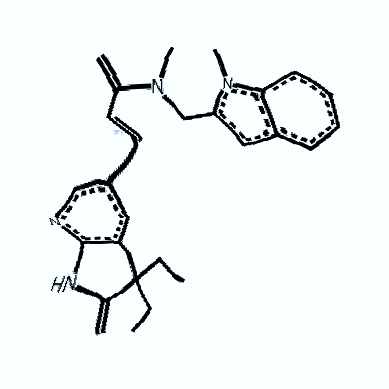 C=C(/C=C/c1cnc2c(c1)C(CC)(CC)C(=C)N2)N(C)Cc1cc2ccccc2n1C